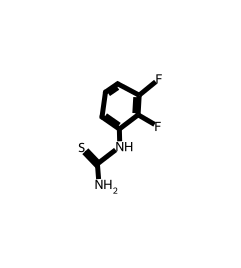 NC(=S)Nc1cccc(F)c1F